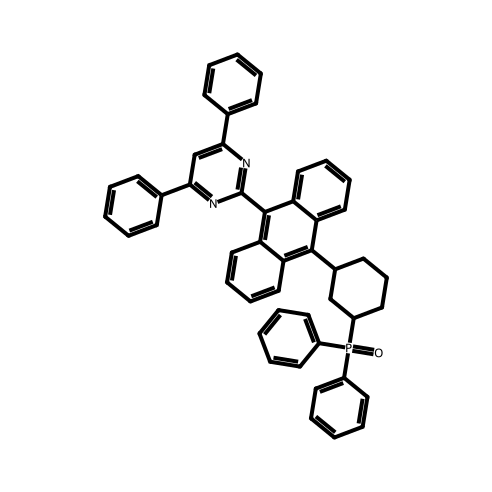 O=P(c1ccccc1)(c1ccccc1)C1CCCC(c2c3ccccc3c(-c3nc(-c4ccccc4)cc(-c4ccccc4)n3)c3ccccc23)C1